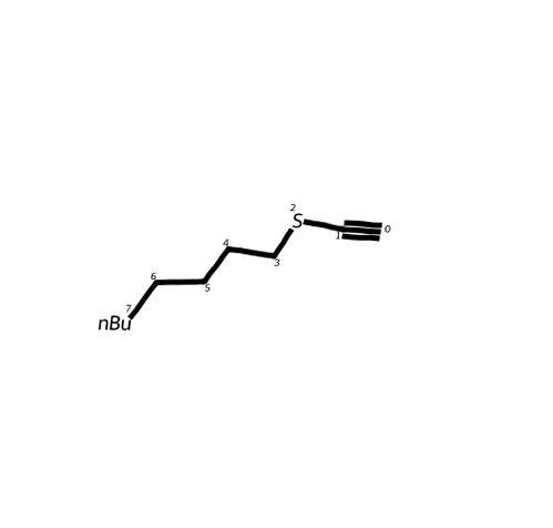 C#CSCCCCCCCC